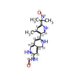 Cc1cc(C(C)(C)N=O)ncc1C1=CC2=CNC(NC=O)C=C2CN1